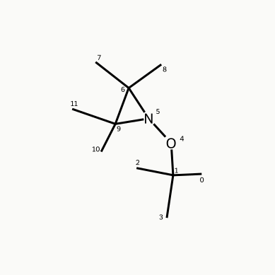 CC(C)(C)ON1C(C)(C)C1(C)C